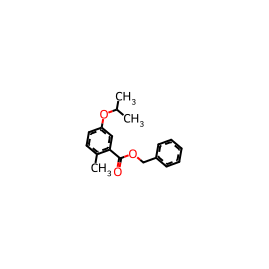 Cc1ccc(OC(C)C)cc1C(=O)OCc1ccccc1